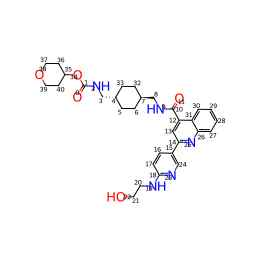 O=C(NC[C@H]1CC[C@H](CNC(=O)c2cc(-c3ccc(NCCO)nc3)nc3ccccc23)CC1)OC1CCOCC1